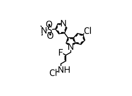 CN(C)S(=O)(=O)c1cncc(-c2cn(C/C(F)=C/CNCl)c3ccc(Cl)cc23)c1